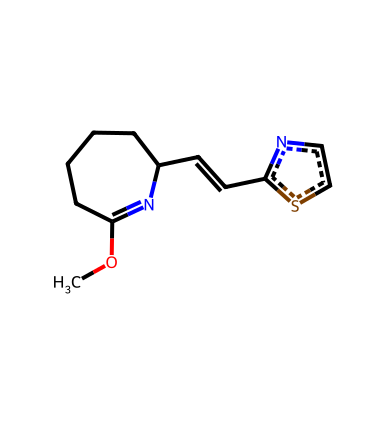 COC1=NC(/C=C/c2nccs2)CCCC1